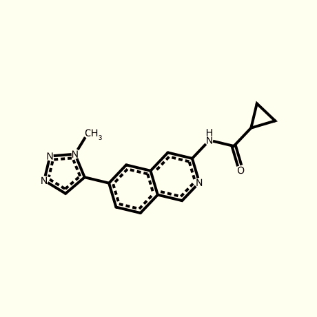 Cn1nncc1-c1ccc2cnc(NC(=O)C3CC3)cc2c1